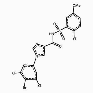 COc1ccc(Cl)c(S(=O)(=O)NC(=O)c2cn(-c3cc(Cl)c(Br)c(Cl)c3)cn2)c1